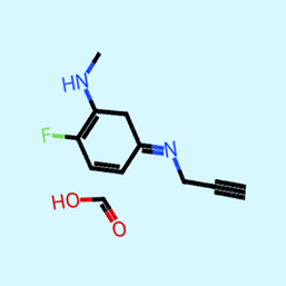 C#CCN=C1C=CC(F)=C(NC)C1.O=CO